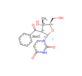 CO[C@@]1(C(=O)c2ccccc2)[C@](F)(n2ccc(=O)[nH]c2=O)O[C@H](CO)[C@@]1(C)O